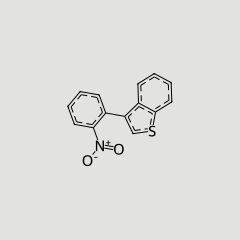 O=[N+]([O-])c1ccccc1-c1csc2ccccc12